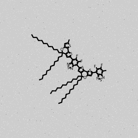 CCCCCCCCCCCCC1(CCCCCCCCCCCC)Oc2cc(C)sc2-c2sc(-c3c(F)c(F)c(-c4cc5c(s4)-c4sc(-c6c(F)c(F)c(C)c7nsnc67)cc4OC5(CCCCCCCCCCCC)CCCCCCCCCCCC)c4nsnc34)cc21